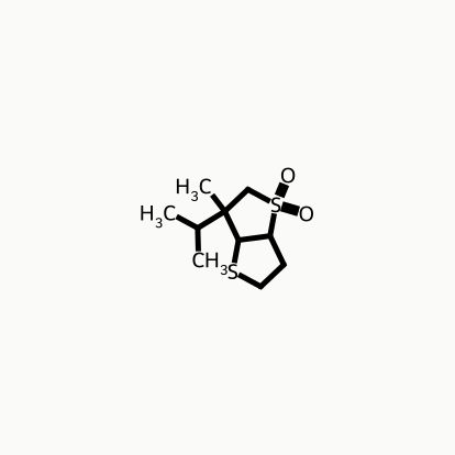 CC(C)C1(C)CS(=O)(=O)C2CCSC21